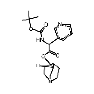 CC(C)(C)OC(=O)NC(C(=O)O[C@H]1CN2CCC1CC2)c1cccnc1